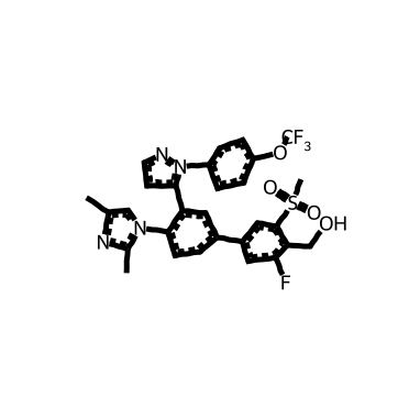 Cc1cn(-c2ccc(-c3cc(F)c(CO)c(S(C)(=O)=O)c3)cc2-c2ccnn2-c2ccc(OC(F)(F)F)cc2)c(C)n1